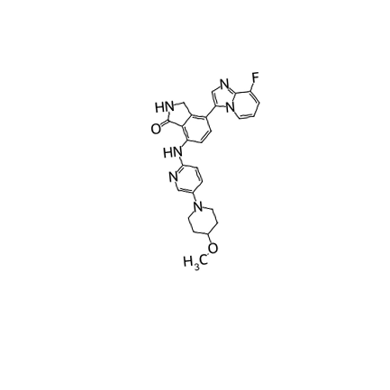 COC1CCN(c2ccc(Nc3ccc(-c4cnc5c(F)cccn45)c4c3C(=O)NC4)nc2)CC1